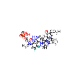 CN1C[C@@H]2CCN(c3c(-c4cnc5c(c4)c(=O)c(C(=O)O)cn5C)cnc4[nH]c5c(N(C)C(=O)OCOP(=O)(O)O)cc(F)c(F)c5c34)[C@@H]2C1